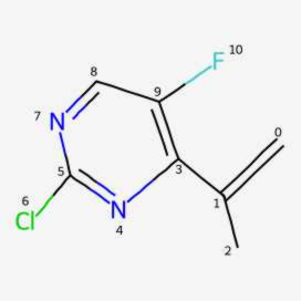 C=C(C)c1nc(Cl)ncc1F